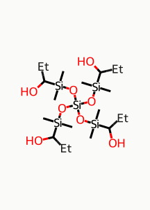 CCC(O)[Si](C)(C)O[Si](O[Si](C)(C)C(O)CC)(O[Si](C)(C)C(O)CC)O[Si](C)(C)C(O)CC